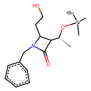 C[C@@H](O[Si](C)(C)C(C)(C)C)C1C(=O)N(Cc2ccccc2)C1CCO